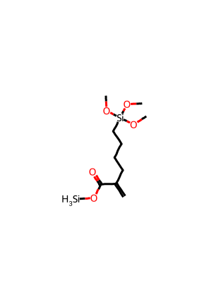 C=C(CCCC[Si](OC)(OC)OC)C(=O)O[SiH3]